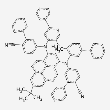 Cc1ccc(-c2ccccc2)cc1N(c1ccc(C#N)c(-c2ccccc2)c1)c1cc(N(c2ccc(C#N)c(-c3ccccc3)c2)c2cc(-c3ccccc3)ccc2C)c2ccc3cc(C(C)(C)C)cc4ccc1c2c43